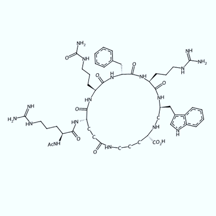 CC(=O)N[C@@H](CCCNC(=N)N)C(=O)N[C@H]1CCC(=O)NCCC[C@@H](C(=O)O)NC[C@H](Cc2c[nH]c3ccccc23)NC(=O)[C@H](CCCNC(=N)N)NC(=O)[C@@H](Cc2ccccc2)NC(=O)[C@H](CCCNC(N)=O)NC1=O